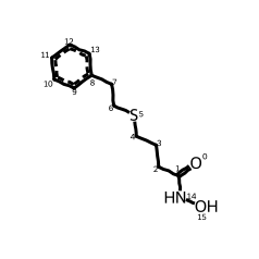 O=C(CCCSCCc1ccccc1)NO